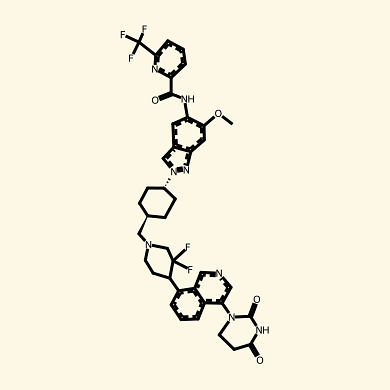 COc1cc2nn([C@H]3CC[C@H](CN4CCC(c5cccc6c(N7CCC(=O)NC7=O)cncc56)C(F)(F)C4)CC3)cc2cc1NC(=O)c1cccc(C(F)(F)F)n1